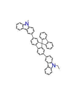 CCn1c2ccccc2c2cc(-c3ccc4c(c3)C3(c5ccccc5-c5ccccc53)c3cc(-c5ccc6c(c5)c5ccccc5n6C)ccc3-4)ccc21